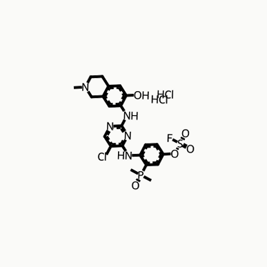 CN1CCc2cc(O)c(Nc3ncc(Cl)c(Nc4ccc(OS(=O)(=O)F)cc4P(C)(C)=O)n3)cc2C1.Cl.Cl